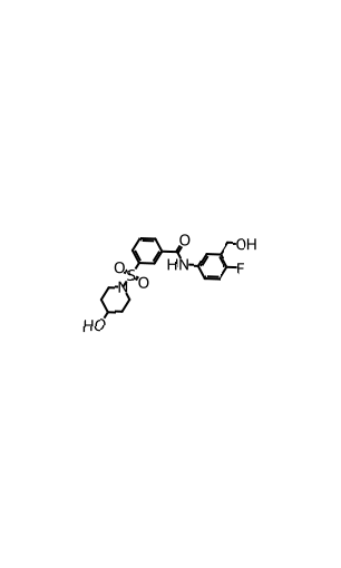 O=C(Nc1ccc(F)c(CO)c1)c1cccc(S(=O)(=O)N2CCC(O)CC2)c1